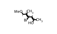 COC/C(C)=C(\Br)C=C(C)O